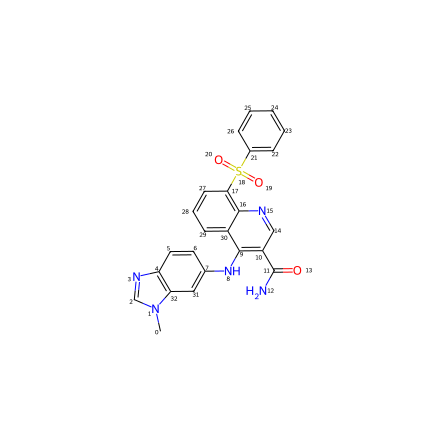 Cn1cnc2ccc(Nc3c(C(N)=O)cnc4c(S(=O)(=O)c5ccccc5)cccc34)cc21